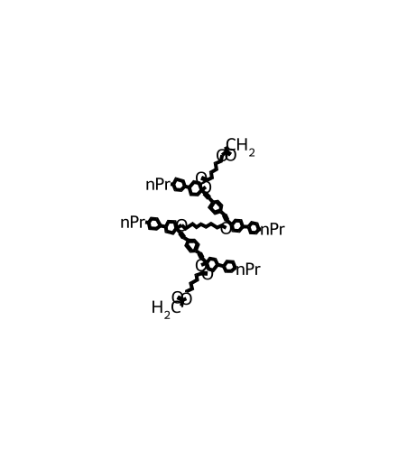 C=CC(=O)OCCCCCC(=O)OC1(C#Cc2ccc(C#CC3(OCCCCCCCCOC4(C#Cc5ccc(C#CC6(OC(=O)CCCCCOC(=O)C=C)CCC(C7CCC(CCC)CC7)CC6)cc5)CCC(C5CCC(CCC)CC5)CC4)CCC(C4CCC(CCC)CC4)CC3)cc2)CCC(C2CCC(CCC)CC2)CC1